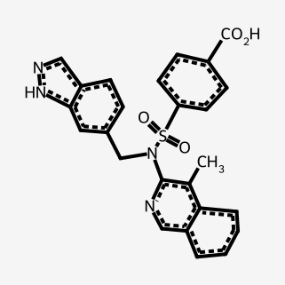 Cc1c(N(Cc2ccc3cn[nH]c3c2)S(=O)(=O)c2ccc(C(=O)O)cc2)ncc2ccccc12